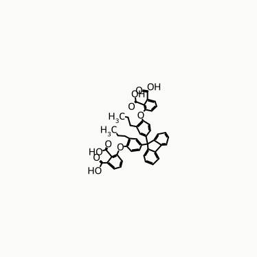 CCCc1cc(C2(c3ccc(Oc4cccc(C(=O)O)c4C(=O)O)c(CCC)c3)c3ccccc3-c3ccccc32)ccc1Oc1cccc(C(=O)O)c1C(=O)O